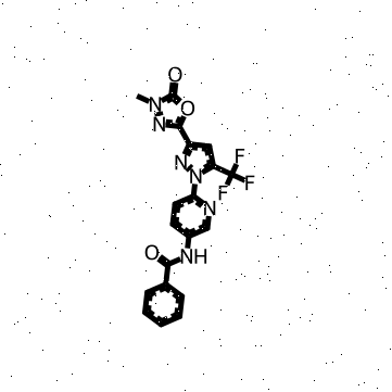 Cn1nc(-c2cc(C(F)(F)F)n(-c3ccc(NC(=O)c4ccccc4)cn3)n2)oc1=O